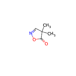 CC1(C)C=NOC1=O